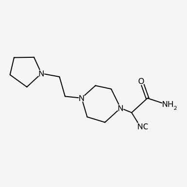 [C-]#[N+]C(C(N)=O)N1CCN(CCN2CCCC2)CC1